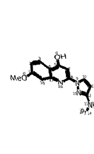 COc1ccc2c(O)cc(-n3ccc(NC(C)C)n3)nc2c1